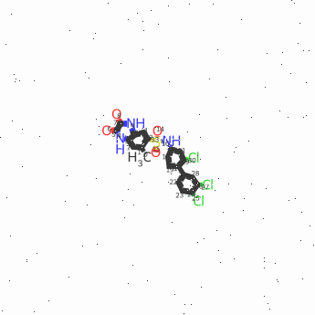 Cc1cc2[nH]c(=O)c(=O)[nH]c2cc1S(=O)(=O)Nc1ccc(-c2ccc(Cl)c(Cl)c2)c(Cl)c1